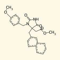 COC(=O)CC1(Cc2ccc3ccccc3c2)C(=O)NC(=O)N1Cc1ccc(OC)cc1